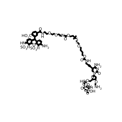 CC(C)(CCOC(=O)NCCOCCOCCNC(=O)c1ccc(C(=O)O)c(-c2c3ccc(=N)c(S(=O)(=O)O)c-3oc3c(S(=O)(=O)O)c(N)ccc23)c1)SSCOCCCCOC(=O)NCC#Cc1cn([C@H]2C[C@@H](OCN)C(COP(=O)(O)OP(=O)(O)OP(=O)(O)O)O2)c(=O)nc1N